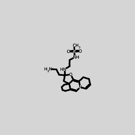 CS(=O)(=O)NCCNC1(CCN)CC23CCCCC2=CN2C=CCCC2=C3O1